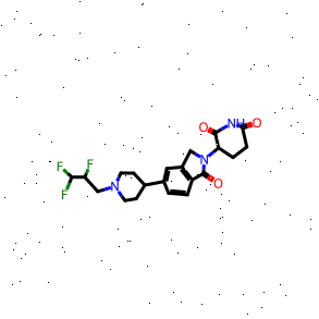 O=C1CCC(N2Cc3cc(C4CCN(CC(F)C(F)F)CC4)ccc3C2=O)C(=O)N1